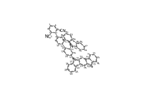 N#Cc1cccc(C#N)c1-c1ccc(-c2ccc(-n3c4ccccc4c4cc5sc6ccccc6c5cc43)cc2-n2c3ccccc3c3ccccc32)cc1